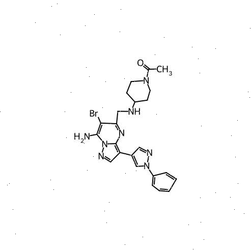 CC(=O)N1CCC(NCc2nc3c(-c4cnn(-c5ccccc5)c4)cnn3c(N)c2Br)CC1